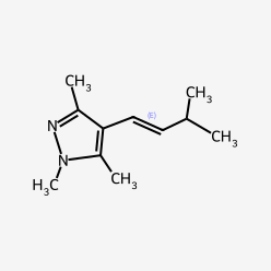 Cc1nn(C)c(C)c1/C=C/C(C)C